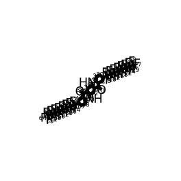 O=c1c2cc(C(F)(F)C(F)(F)C(F)(F)C(F)(F)C(F)(F)C(F)(F)C(F)(F)C(F)(F)F)ccc2[nH]c2cc3c(=O)c4cc(C(F)(F)C(F)(F)C(F)(F)C(F)(F)C(F)(F)C(F)(F)C(F)(F)C(F)(F)F)ccc4[nH]c3cc12